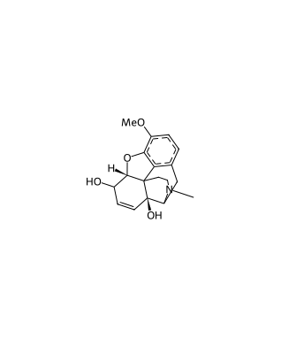 COc1ccc2c3c1O[C@H]1C(O)C=C[C@@]4(O)C(C2)N(C)CCC314